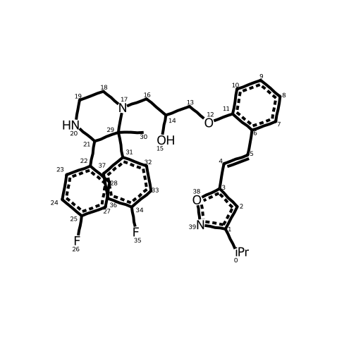 CC(C)c1cc(C=Cc2ccccc2OCC(O)CN2CCNC(c3ccc(F)cc3)C2(C)c2ccc(F)cc2)on1